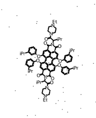 CCN1CCN(C(=O)C(C(C)C)N2C(=O)c3cc(Oc4cccc(C(C)C)c4)c4c5c(Oc6cccc(C(C)C)c6)cc6c7c(cc(Oc8cccc(C(C)C)c8)c(c8c(Oc9cccc(C(C)C)c9)cc(c3c48)C2=O)c75)C(=O)N(C(C(=O)N2CCN(CC)CC2)C(C)C)C6=O)CC1